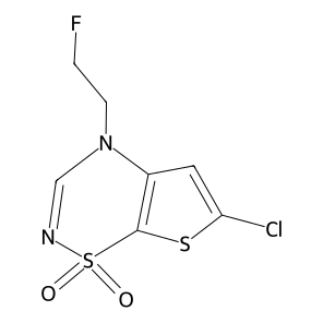 O=S1(=O)N=CN(CCF)c2cc(Cl)sc21